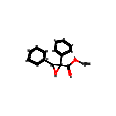 CCCCCCOC(=O)C1(c2ccccc2)OC1c1ccccc1